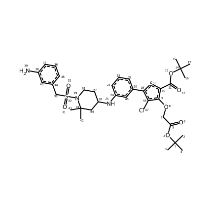 CC(C)(C)OC(=O)COc1c(C(=O)OC(C)(C)C)sc(-c2cccc(NC3CCN(S(=O)(=O)Cc4cccc(N)c4)C(C)(C)C3)c2)c1Cl